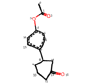 CC(=O)Oc1ccc(C2CCCC(=O)C2)cc1